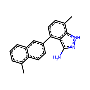 Cc1cccc2cc(-c3ccc(C)c4[nH]nc(N)c34)ccc12